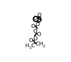 C=C(C)C(=O)OCC(=O)OCC(=O)OC12CC3CC(C1)OC(=O)C(C3)C2